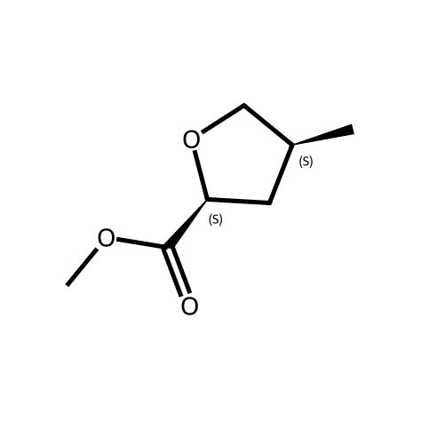 COC(=O)[C@@H]1C[C@H](C)CO1